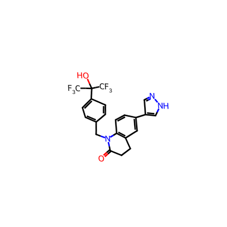 O=C1CCc2cc(-c3cn[nH]c3)ccc2N1Cc1ccc(C(O)(C(F)(F)F)C(F)(F)F)cc1